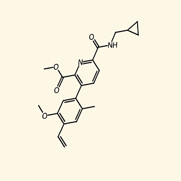 C=Cc1cc(C)c(-c2ccc(C(=O)NCC3CC3)nc2C(=O)OC)cc1OC